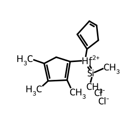 CC1=C(C)C(C)=[C]([Hf+2]([C]2=CC=CC2)=[Si](C)C)C1.[Cl-].[Cl-]